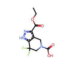 CCOC(=O)c1n[nH]c2c1CN(C(=O)O)CC2(F)F